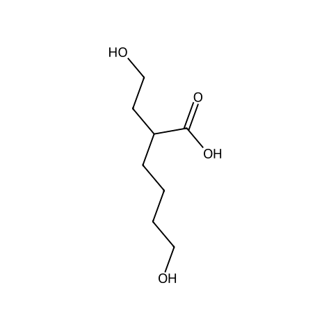 O=C(O)C(CCO)CCCCO